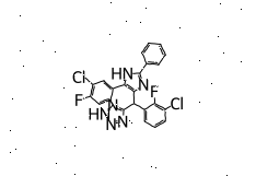 Fc1ccc(-c2[nH]c(-c3ccccc3)nc2C(c2nn[nH]n2)c2cccc(Cl)c2F)cc1Cl